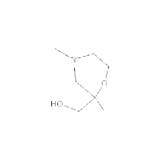 CN1CCOC(C)(CO)C1